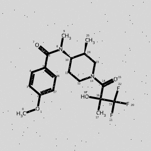 COc1ccc(C(=O)N(C)[C@@H]2CCN(C(=O)C(C)(O)C(F)(F)F)C[C@@H]2C)cc1